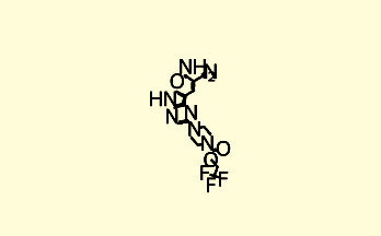 N#CC(=Cc1c[nH]c2ncc(N3CCN(C(=O)OCC(F)(F)F)CC3)nc12)C(N)=O